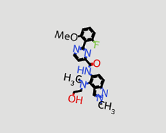 COc1cccc(F)c1-c1nccc(C(=O)Nc2ccc3nn(C)cc3c2N(C)CCO)n1